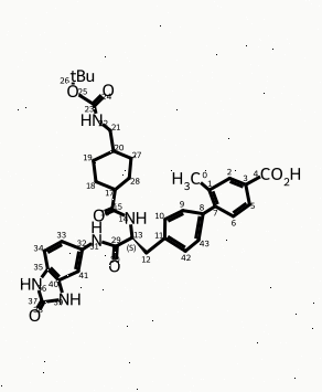 Cc1cc(C(=O)O)ccc1-c1ccc(C[C@H](NC(=O)C2CCC(CNC(=O)OC(C)(C)C)CC2)C(=O)Nc2ccc3[nH]c(=O)[nH]c3c2)cc1